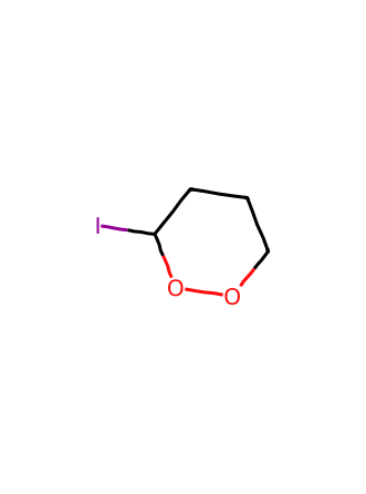 IC1CCCOO1